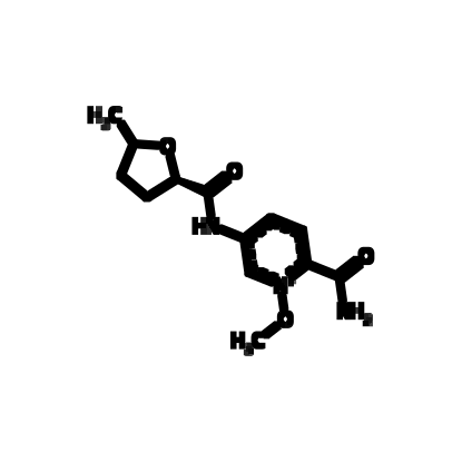 CO[n+]1cc(NC(=O)[C@H]2CCC(C)O2)ccc1C(N)=O